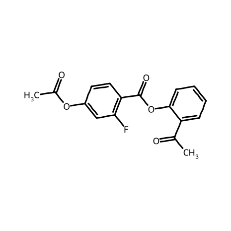 CC(=O)Oc1ccc(C(=O)Oc2ccccc2C(C)=O)c(F)c1